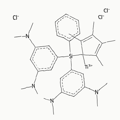 CC1=C(C)[C]([Ti+3])([Si](c2ccccc2)(c2cc(N(C)C)cc(N(C)C)c2)c2cc(N(C)C)cc(N(C)C)c2)C(C)=C1C.[Cl-].[Cl-].[Cl-]